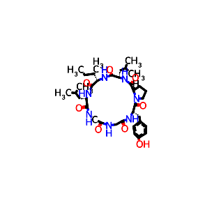 CCC(C)[C@@H]1NC(=O)[C@H](CC(C)C)NC(=O)[C@@H]2CCCN2C(=O)[C@H](Cc2ccc(O)cc2)NC(=O)CNC(=O)CNC(=O)[C@H](CC(C)C)NC1=O